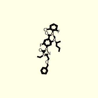 CCCC(C)N1CN(c2c(F)cccc2Cl)C(=O)c2cc(F)c(-n3nc(COCc4ccccc4)n(CC)c3=O)cc21